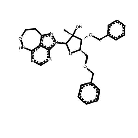 C[C@]1(O)C(n2nc3c4c(ncnc42)NOCC3)O[C@H](COCc2ccccc2)[C@H]1OCc1ccccc1